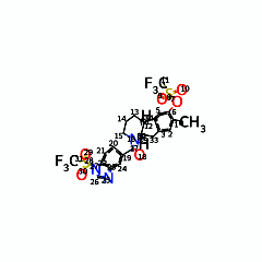 Cc1cc2c(cc1OS(=O)(=O)C(F)(F)F)[C@@H]1CCCN(C(=O)c3ccc4c(c3)ncn4S(=O)(=O)C(F)(F)F)[C@@H]1C2